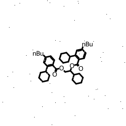 CCCCc1ccc(C(=O)OCC(OC(=O)c2ccc(CCCC)cc2C2CCCCC2)C2CCCCC2)c(C2CCCCC2)c1